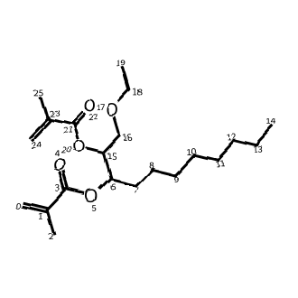 C=C(C)C(=O)OC(CCCCCCCC)C(COCC)OC(=O)C(=C)C